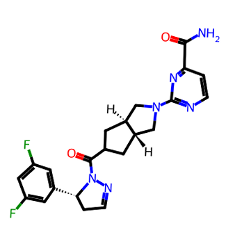 NC(=O)c1ccnc(N2C[C@@H]3CC(C(=O)N4N=CC[C@@H]4c4cc(F)cc(F)c4)C[C@H]3C2)n1